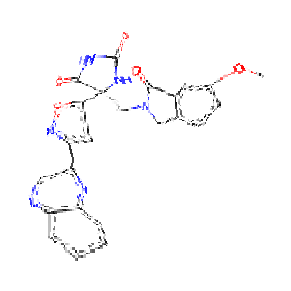 COc1ccc2c(c1)C(=O)N(C[C@@]1(c3cc(-c4cnc5ccccc5n4)no3)NC(=O)NC1=O)C2